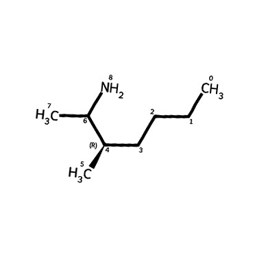 CCCC[C@@H](C)C(C)N